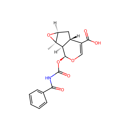 C[C@]12O[C@H]1C[C@@H]1C(C(=O)O)=CO[C@@H](OC(=O)NC(=O)c3ccccc3)[C@H]12